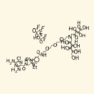 CCn1c(CNC(=O)c2nc(Cl)c(N)nc2N)[n+](CC)c2ccc(C(=O)NCCOCCOCCOCCN(C[C@H](O)[C@@H](O)[C@H](O)[C@H](O)CO)C[C@H](O)[C@@H](O)[C@H](O)[C@H](O)CO)cc21.O=C(O)C(F)(F)F.O=C([O-])C(F)(F)F